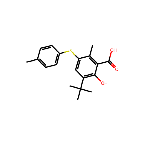 Cc1ccc(Sc2cc(C(C)(C)C)c(O)c(C(=O)O)c2C)cc1